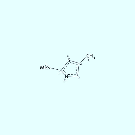 [CH2]Sc1ncc(C)s1